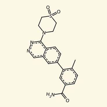 Cc1ccc(C(N)=O)cc1-c1ccc2c(N3CCS(=O)(=O)CC3)nncc2c1